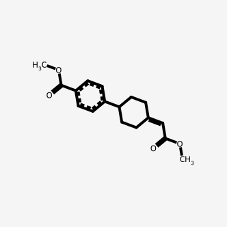 COC(=O)C=C1CCC(c2ccc(C(=O)OC)cc2)CC1